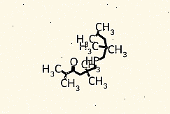 CC(C)CC(C)(C)CPCC(C)(C)CC(=O)C(C)C